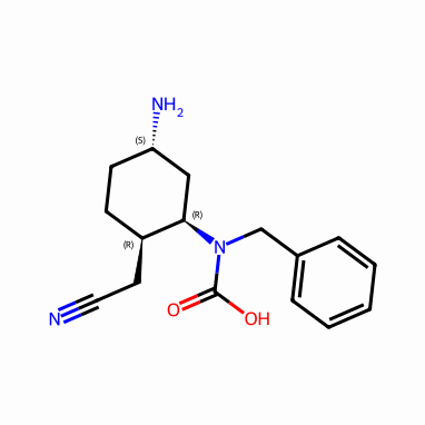 N#CC[C@H]1CC[C@H](N)C[C@H]1N(Cc1ccccc1)C(=O)O